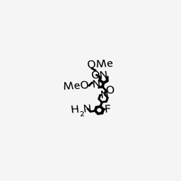 COCCOc1nccc2c(C(=O)N3CCC(c4cc(CN)ccc4F)CC3)cn(CCOC)c12